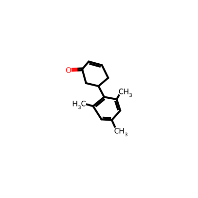 Cc1cc(C)c(C2CC=CC(=O)C2)c(C)c1